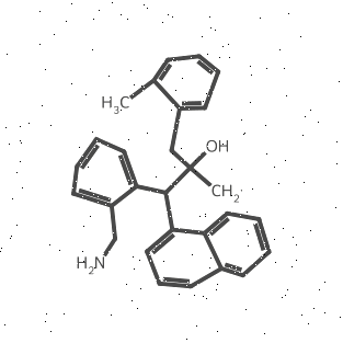 [CH2]C(O)(Cc1ccccc1C)C(c1ccccc1CN)c1cccc2ccccc12